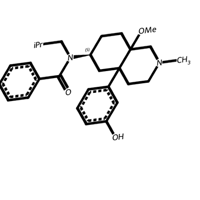 COC12CC[C@H](N(CC(C)C)C(=O)c3ccccc3)CC1(c1cccc(O)c1)CCN(C)C2